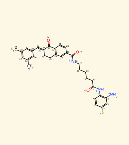 Nc1cc(F)ccc1NC(=O)CCCCCNC(=O)c1ccc2c(c1)CC/C(=C\c1cc(C(F)(F)F)cc(C(F)(F)F)c1)C2=O